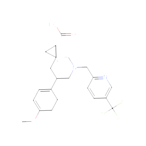 COC1=CC=C(C2CN(Cc3ccc(C(F)(F)F)cn3)C[C@]3(C2)C[C@@H]3C(=O)O)CC1